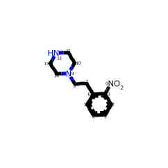 O=[N+]([O-])c1ccccc1CCN1CCNCC1